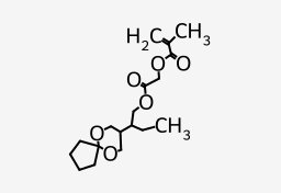 C=C(C)C(=O)OCC(=O)OCC(CC)C1COC2(CCCC2)OC1